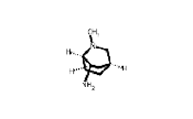 CN1C[C@H]2CC[C@@H]1[C@H](N)C2